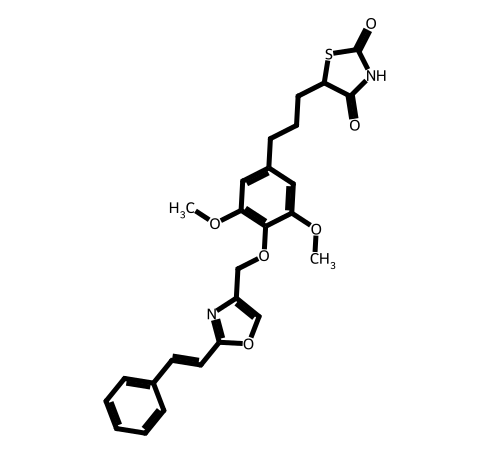 COc1cc(CCCC2SC(=O)NC2=O)cc(OC)c1OCc1coc(C=Cc2ccccc2)n1